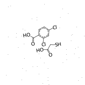 O=C(O)CS.O=C(O)c1ccc(Cl)cc1Cl